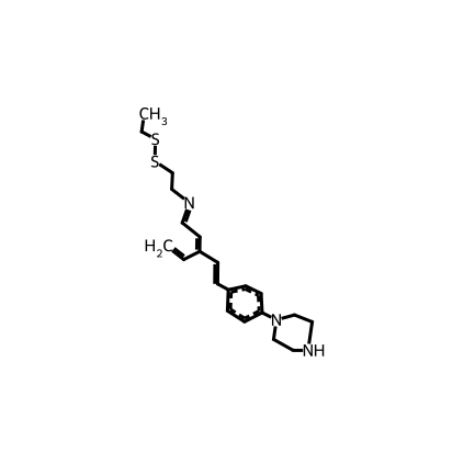 C=CC(/C=C/c1ccc(N2CCNCC2)cc1)=C\C=N\CCSSCC